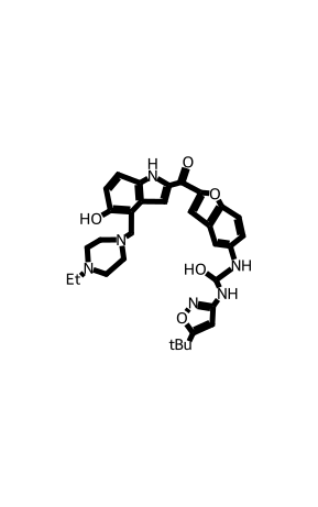 CCN1CCN(Cc2c(O)ccc3[nH]c(C(=O)c4cc5cc(NC(O)Nc6cc(C(C)(C)C)on6)ccc5o4)cc23)CC1